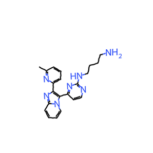 Cc1cccc(-c2nc3ccccn3c2-c2ccnc(NCCCCN)n2)n1